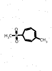 CC1=CC=CC(S(C)(=O)=O)C=C1